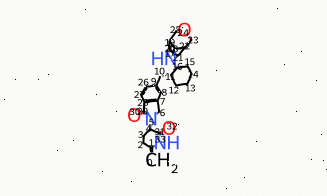 C=C1CCC(N2Cc3cc(C[C@H]4CCCC[C@@H]4NC4C5CCC4COC5)ccc3C2=O)C(=O)N1